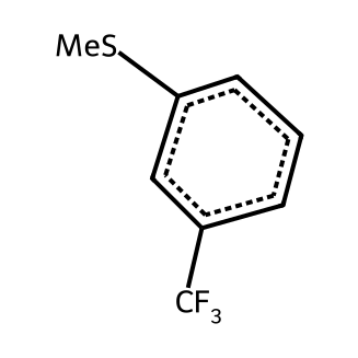 CSc1cccc(C(F)(F)F)c1